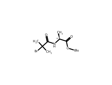 C[C@H](NC(=O)C(C)(C)Br)C(=O)OC(C)(C)C